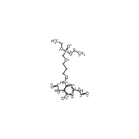 CCOP(=O)(COCCCONc1nc(NC=O)nc(Cl)c1NC=O)OCC